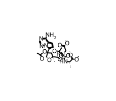 COC(=O)[C@H](C)NP(=O)(N[C@@H](C)C(=O)OC)OC[C@@]1(C)OCC(OC(C)=O)(c2ccc3c(N)ncnn23)[C@@H]1OC(C)=O